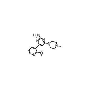 COc1ncccc1-c1cc(N2CCN(C)CC2)nc(N)n1